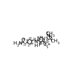 Cc1nn(C)cc1C1CCCN1c1ncnc(NCc2ccc(CC(N)=O)cc2)c1F